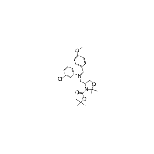 COc1ccc(CN(CC2COC(C)(C)N2C(=O)OC(C)(C)C)c2cccc(Cl)c2)cc1